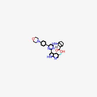 O=C(O)C1C2CCC(CC2)[C@@H]1Nc1cc(-c2ccc(N3CCOCC3)cc2)nc(-c2c[nH]c3ncc(F)cc23)n1